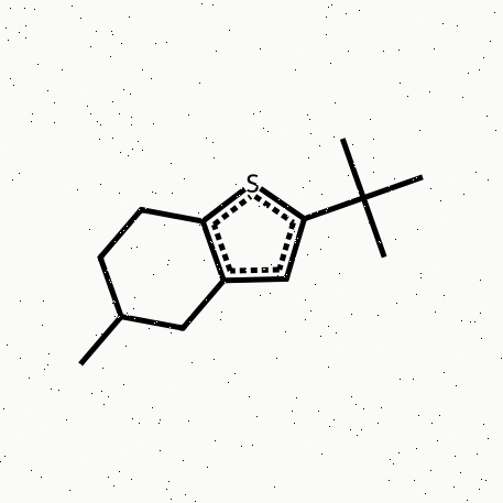 CC1CCc2sc(C(C)(C)C)cc2C1